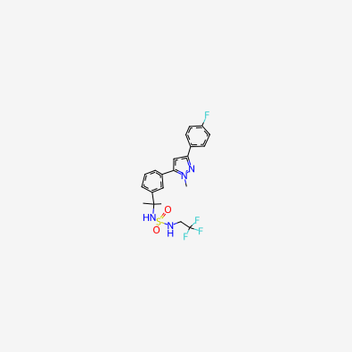 Cn1nc(-c2ccc(F)cc2)cc1-c1cccc(C(C)(C)NS(=O)(=O)NCC(F)(F)F)c1